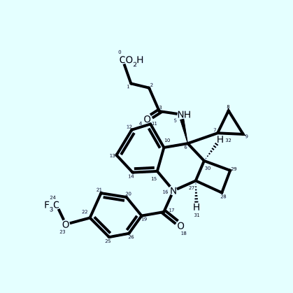 O=C(O)CCC(=O)N[C@]1(C2CC2)c2ccccc2N(C(=O)c2ccc(OC(F)(F)F)cc2)[C@@H]2CC[C@@H]21